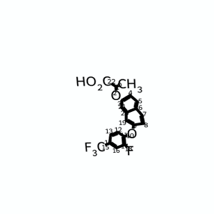 CC(Oc1ccc2ccc(Oc3ccc(C(F)(F)F)cc3F)cc2c1)C(=O)O